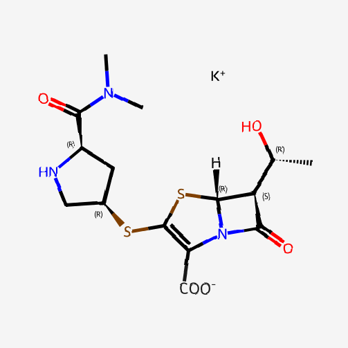 C[C@@H](O)[C@H]1C(=O)N2C(C(=O)[O-])=C(S[C@H]3CN[C@@H](C(=O)N(C)C)C3)S[C@H]12.[K+]